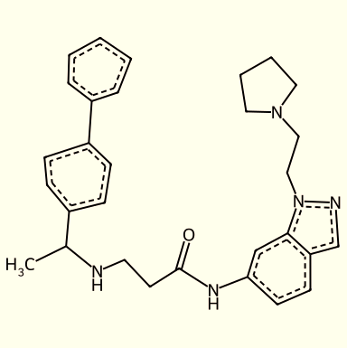 CC(NCCC(=O)Nc1ccc2cnn(CCN3CCCC3)c2c1)c1ccc(-c2ccccc2)cc1